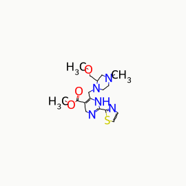 COCC1CN(C)CCN1CC1=C(C(=O)OC)CN=C(c2nccs2)N1